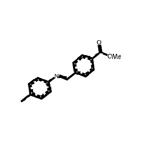 COC(=O)c1ccc(C=Nc2ccc(C)cc2)cc1